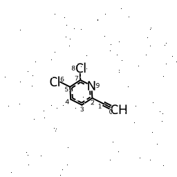 C#Cc1ccc(Cl)c(Cl)n1